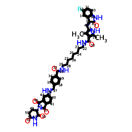 Cc1[nH]c(/C=C2\C(=O)Nc3ccc(F)cc32)c(C)c1C(=O)NCCCCCCCCNC(=O)c1ccc(CNc2ccc3c(c2)C(=O)N(C2CCC(=O)NC2=O)C3=O)cc1